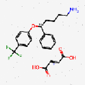 NCCCC[C@H](Oc1ccc(C(F)(F)F)cc1)c1ccccc1.O=C(O)/C=C/C(=O)O